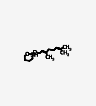 CC(C)=CCC/C(C)=C/CO[SiH]1CCCCO1